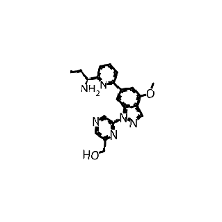 CC[C@H](N)c1cccc(-c2cc(OC)c3cnn(-c4cncc(CO)n4)c3c2)n1